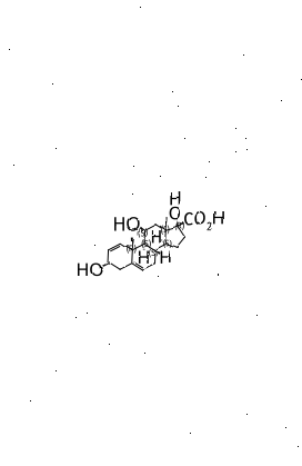 C[C@]12C=CC(O)CC1=CC[C@@H]1[C@@H]2[C@@H](O)C[C@@]2(C)[C@H]1CC[C@]2(O)C(=O)O